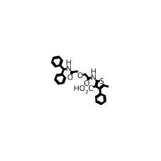 Cc1sc(NC(=O)COCC(=O)NC(c2ccccc2)c2ccccc2)c(C(=O)O)c1-c1ccccc1